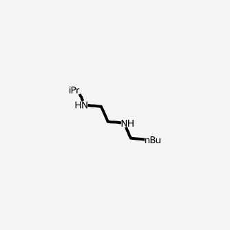 [CH2]CCCCNCCNC(C)C